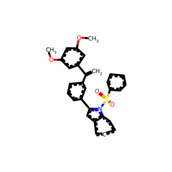 C=C(c1cc(OC)cc(OC)c1)c1cccc(-c2cc3ccccc3n2S(=O)(=O)c2ccccc2)c1